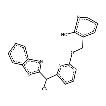 N#CC(c1ccnc(OCc2cccnc2O)n1)c1nc2ccccc2s1